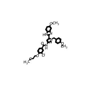 COCCOc1ccc(C(=O)Nc2cc(-c3nc4cc(OC)ccc4[nH]3)n(Cc3ccc(OC)cc3)n2)cc1Cl